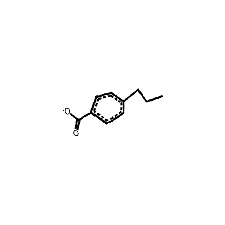 CCCc1ccc(C([O])=O)cc1